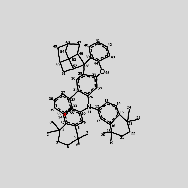 CC1(C)CCC(C)(C)c2cc(N(c3ccc4c(c3)C(C)(C)CCC4(C)C)c3cc4c(cc3-c3ccccc3)C3(c5ccccc5O4)C4CC5CC6CC3C64C5)ccc21